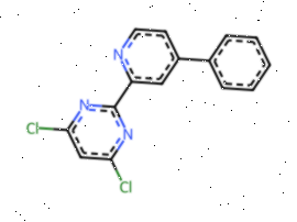 Clc1cc(Cl)nc(-c2cc(-c3ccccc3)ccn2)n1